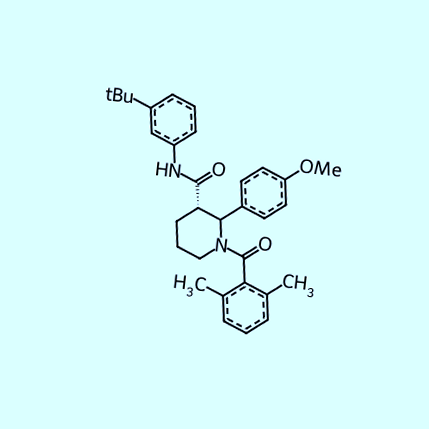 COc1ccc(C2[C@@H](C(=O)Nc3cccc(C(C)(C)C)c3)CCCN2C(=O)c2c(C)cccc2C)cc1